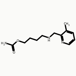 Cc1cccnc1CNCCCCOC(N)=O